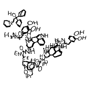 CC(C)C[C@H]1C(=O)N2CCC[C@H]2[C@]2(O)O[C@](NC(=O)[C@@H]3C=C4c5cccc6[nH]c(Br)c(c56)C[C@H]4N(C)C3)(C(C)C)C(=O)N12.CCN(CC)C(=O)N[C@H]1C=C2c3cccc4[nH]cc(c34)C[C@H]2N(C)C1.C[C@@](Cc1ccc(O)c(O)c1)(NN)C(=O)O.N[C@@H](Cc1ccc(O)c(O)c1)C(=O)O.OC(CCN1CCCCC1)(c1ccccc1)C1CC2C=CC1C2